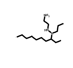 [CH2]CCCCCCC(CC)N(CCC)NCCN